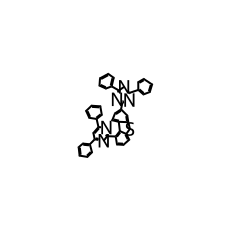 c1ccc(-c2cc(-c3ccccc3)nc(-c3cccc4sc5cc(-c6nc(-c7ccccc7)nc(-c7ccccc7)n6)ccc5c34)n2)cc1